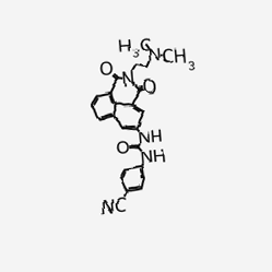 CN(C)CCN1C(=O)c2cccc3cc(NC(=O)Nc4ccc(C#N)cc4)cc(c23)C1=O